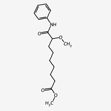 COC(=O)CCCCCCC(OC)C(=O)Nc1ccccc1